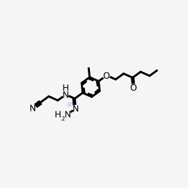 CCCC(=O)CCOc1ccc(/C(=N/N)NCCC#N)cc1C